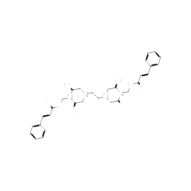 O=C(C=Cc1ccccc1)OCN1C(=O)CN(CCN2CC(=O)N(COC(=O)C=Cc3ccccc3)C(=O)C2)CC1=O